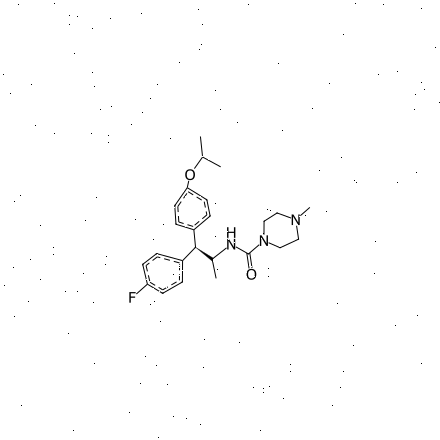 CC(C)Oc1ccc([C@H](c2ccc(F)cc2)C(C)NC(=O)N2CCN(C)CC2)cc1